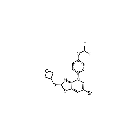 FC(F)Oc1ccc(N2C=C(Br)C=C3SC(OC4COC4)N=C32)cc1